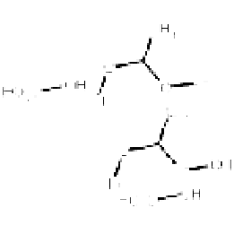 CCOC(C)OO.CCOC(C)OO.O=C(O)O.O=C(O)O